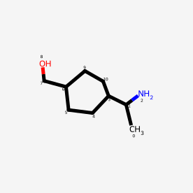 CC(N)C1CCC(CO)CC1